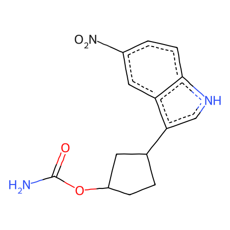 NC(=O)OC1CCC(c2c[nH]c3ccc([N+](=O)[O-])cc23)C1